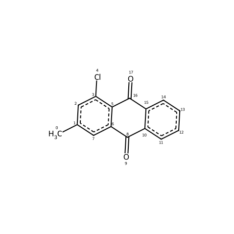 Cc1cc(Cl)c2c(c1)C(=O)c1ccccc1C2=O